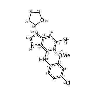 COc1cc(Cl)ccc1Nc1nc(S)nc2c1ncn2C1CCCO1